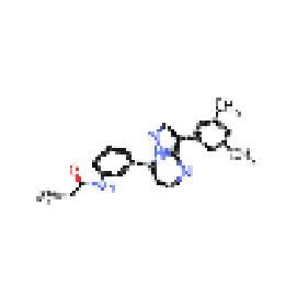 Cc1cc(C)cc(-c2cnn3c(-c4cccc(NC(=O)CC(C)C)c4)ccnc23)c1